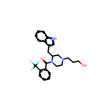 O=C(c1ccccc1C(F)(F)F)N1CCN(CCCO)CC1Cc1c[nH]c2ccccc12